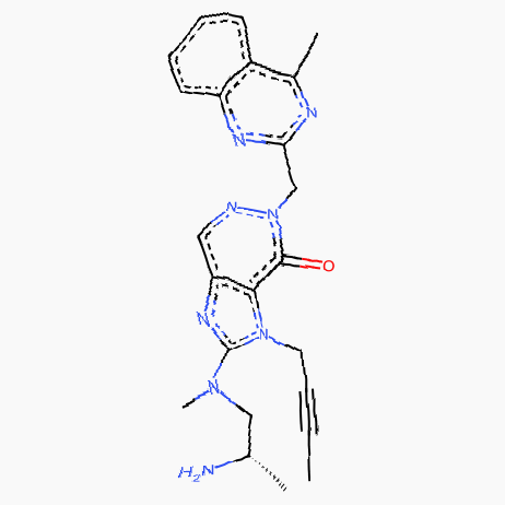 CC#CCn1c(N(C)C[C@H](C)N)nc2cnn(Cc3nc(C)c4ccccc4n3)c(=O)c21